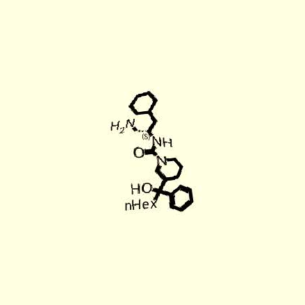 CCCCCCC(O)(c1ccccc1)C1CCCN(C(=O)N[C@H](CN)CC2CCCCC2)C1